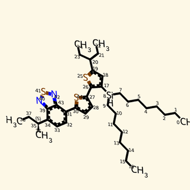 CCCCCCCC[SiH](CCCCCCCC)c1cc(C(CC)CC)sc1-c1ccc(-c2ccc([C@@H](C)CC)c3nsnc23)s1